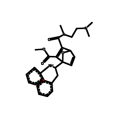 COC(=O)C1=C(C(=O)N(C)CCN(C)C)C2C=CC1(C(Cc1ccccc1)Nc1ccccc1)O2